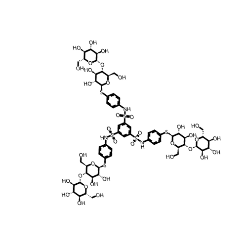 O=S(=O)(Nc1ccc(S[C@@H]2O[C@H](CO)[C@@H](O[C@@H]3O[C@H](CO)[C@@H](O)[C@H](O)[C@H]3O)[C@H](O)[C@H]2O)cc1)c1cc(S(=O)(=O)Nc2ccc(S[C@@H]3O[C@H](CO)[C@@H](O[C@@H]4O[C@H](CO)[C@@H](O)[C@H](O)[C@H]4O)[C@H](O)[C@H]3O)cc2)cc(S(=O)(=O)Nc2ccc(S[C@@H]3O[C@H](CO)[C@@H](O[C@@H]4O[C@H](CO)[C@@H](O)[C@H](O)[C@H]4O)[C@H](O)[C@H]3O)cc2)c1